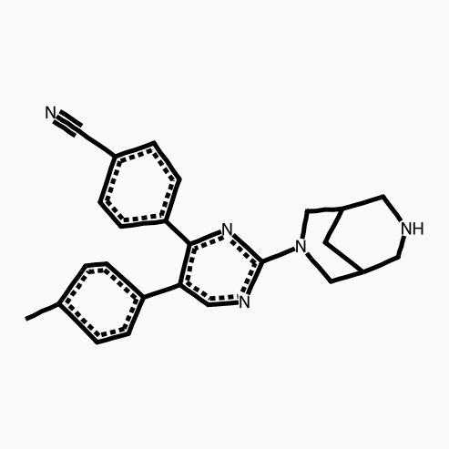 Cc1ccc(-c2cnc(N3CC4CNCC(C4)C3)nc2-c2ccc(C#N)cc2)cc1